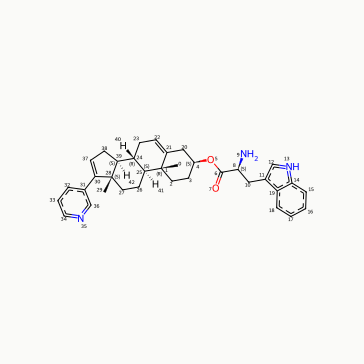 C[C@]12CC[C@H](OC(=O)[C@@H](N)Cc3c[nH]c4ccccc34)CC1=CC[C@@H]1[C@@H]2CC[C@]2(C)C(c3cccnc3)=CC[C@@H]12